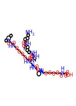 CC(C)[C@H](NC(=O)[C@@H](CCCCNC(=O)COC1CCCCCc2c1nnn2CCOCCOCCOCCOCCC(=O)NCCS(=O)(=O)O)NC(=O)CCOCCOCCOCCOCCNC(=O)CCC(=O)N1Cc2ccccc2CCc2ccccc21)C(=O)N[C@@H](C)C(=O)Nc1ccc2c(c1)[C@@]1(C)CCC[C@](C)(C(=O)NC(=O)[C@@]3(C)CCC[C@]4(C)c5cc(N)ccc5CC[C@@H]34)[C@@H]1CC2